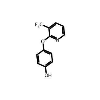 Oc1ccc(Oc2ncccc2C(F)(F)F)cc1